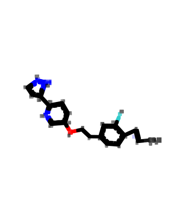 O=C(O)/C=C/c1ccc(CCOc2ccc(-c3ccn[nH]3)nc2)cc1F